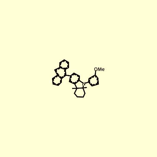 COc1cccc(N2c3ccc(-c4c5ccccc5cc5ccccc45)cc3C3(C)CCCCC23C)c1